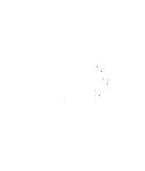 Oc1ccccc1-c1[c]nnnc1